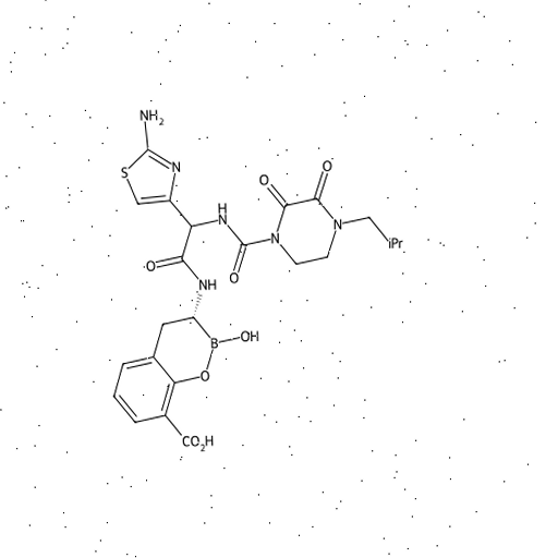 CC(C)CN1CCN(C(=O)NC(C(=O)N[C@H]2Cc3cccc(C(=O)O)c3OB2O)c2csc(N)n2)C(=O)C1=O